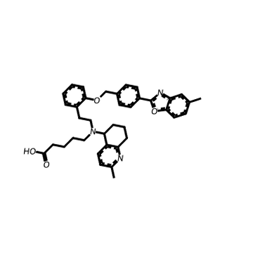 Cc1ccc2oc(-c3ccc(COc4ccccc4CCN(CCCCC(=O)O)C4CCCc5nc(C)ccc54)cc3)nc2c1